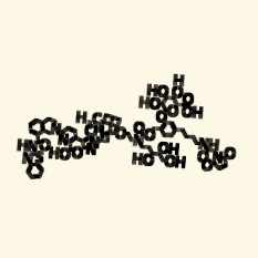 Cc1c(-c2ccc(N3CCc4cccc(C(=O)Nc5nc6ccccc6s5)c4C3)nc2C(=O)O)cnn1CC12CC3(C)CC4CC(OCCN(CC[C@H](O)[C@H](O)CO)C(=O)OCc5ccc(CCCCNC(=O)CN6C(=O)C=CC6=O)cc5O[C@@H]5O[C@H](C(=O)O)[C@@H](O)[C@H](O)[C@H]5O)(C1)C43C2